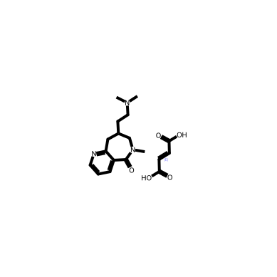 CN(C)CCC1Cc2ncccc2C(=O)N(C)C1.O=C(O)/C=C/C(=O)O